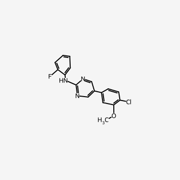 COc1cc(-c2cnc(Nc3ccccc3F)nc2)ccc1Cl